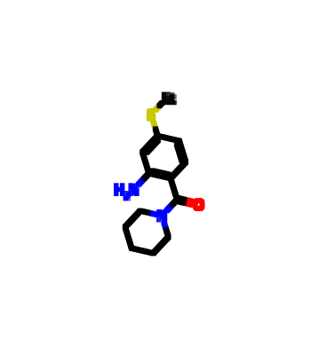 CCSc1ccc(C(=O)N2CCCCC2)c(N)c1